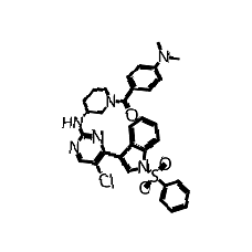 CN(C)c1ccc(C(=O)N2CCCC(Nc3ncc(Cl)c(-c4cn(S(=O)(=O)c5ccccc5)c5ccccc45)n3)C2)cc1